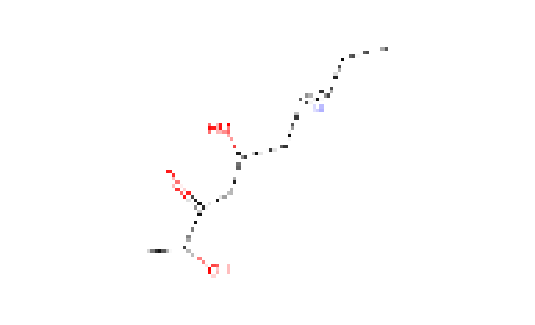 CC/C=C/CC(O)CC(=O)C(C)O